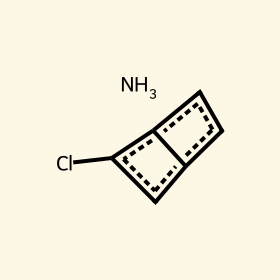 Clc1cc2ccc1-2.N